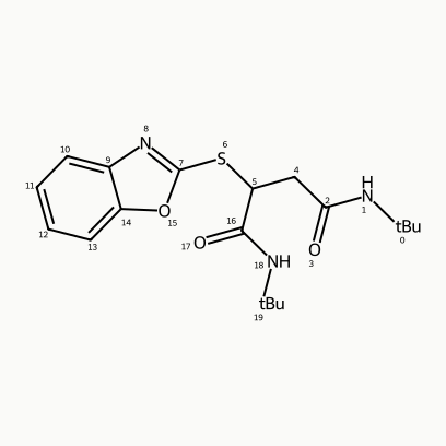 CC(C)(C)NC(=O)CC(Sc1nc2ccccc2o1)C(=O)NC(C)(C)C